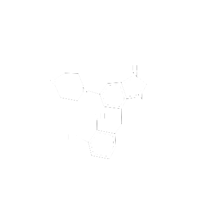 Cc1c(Cc2cc(N3CCOCC3)cc3[nH]cnc23)cccc1C(F)(F)F